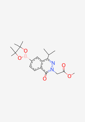 COC(=O)Cn1nc(C(C)C)c2cc(B3OC(C)(C)C(C)(C)O3)ccc2c1=O